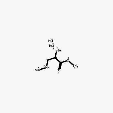 BOC(=O)C(CCCC)CNCCCC.Cl.Cl